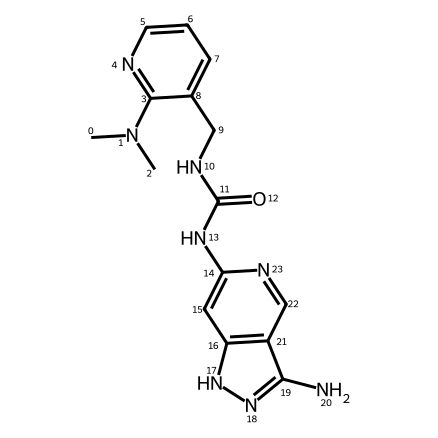 CN(C)c1ncccc1CNC(=O)Nc1cc2[nH]nc(N)c2cn1